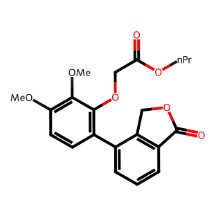 CCCOC(=O)COc1c(-c2cccc3c2COC3=O)ccc(OC)c1OC